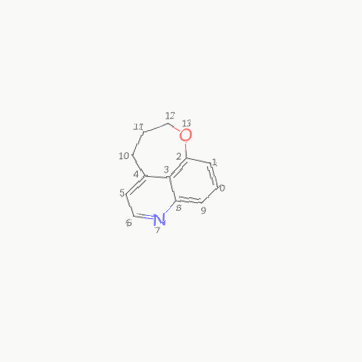 c1cc2c3c(ccnc3c1)CCCO2